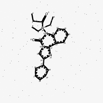 CCC(=O)[N+](CC)(CC)n1c(=O)n2cc(-c3ccccc3)nc2c2ccccc21